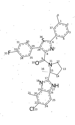 Cc1cccc(-c2nc(C(=O)N3CCC[C@@]3(C)c3nc4c(C)c(Cl)ccc4[nH]3)c(-c3ccc(F)cc3)s2)c1